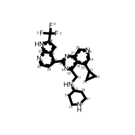 FC(F)(F)c1cc2c(-c3nc(CNC4CCNCC4)c4c(C5CC5)cncc4n3)ccnc2[nH]1